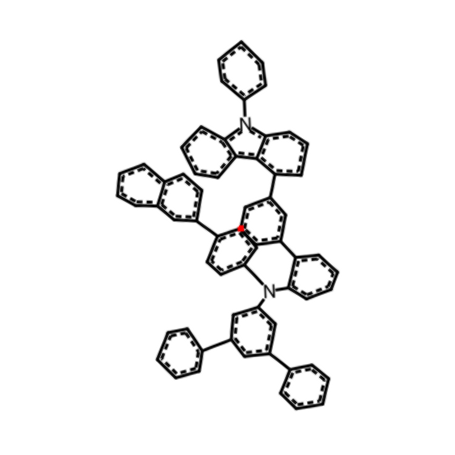 c1ccc(-c2cc(-c3ccccc3)cc(N(c3ccc(-c4ccc5ccccc5c4)cc3)c3ccccc3-c3cccc(-c4cccc5c4c4ccccc4n5-c4ccccc4)c3)c2)cc1